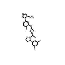 Cn1cncc1-c1ccc(F)c(OC2CN(C(=O)N3N=CCC3c3cc(F)cc(F)c3)C2)n1